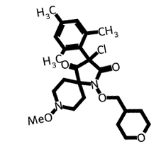 CON1CCC2(CC1)C(=O)C(Cl)(c1c(C)cc(C)cc1C)C(=O)N2OCC1CCOCC1